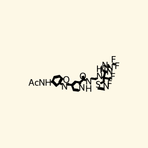 CC(=O)Nc1ccc2oc(-c3ccnc(C(=O)NCCNC(c4nnn(C(F)F)n4)(c4nccs4)C(F)F)c3)nc2c1